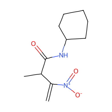 C=C(C(C)C(=O)NC1CCCCC1)[N+](=O)[O-]